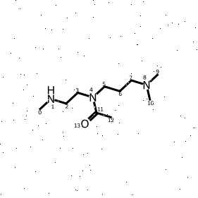 CNCCN(CCCN(C)C)C(C)=O